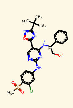 CC(C)(C)c1noc(-c2cnc(Nc3ccc(S(C)(=O)=O)c(Cl)c3)nc2N[C@H](CO)c2ccccc2)n1